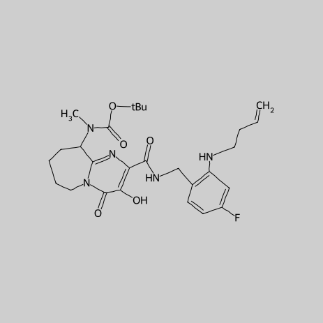 C=CCCNc1cc(F)ccc1CNC(=O)c1nc2n(c(=O)c1O)CCCCC2N(C)C(=O)OC(C)(C)C